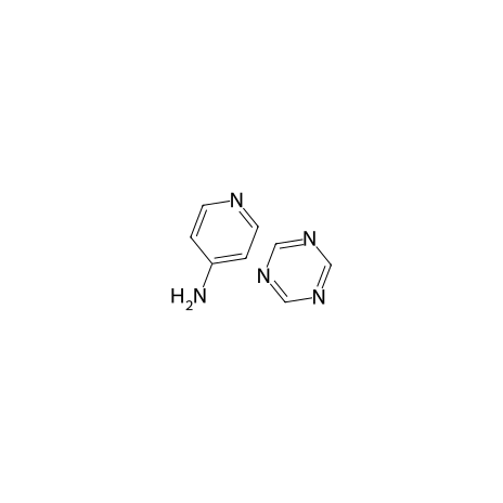 Nc1ccncc1.c1ncncn1